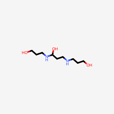 OCCCNCCC(O)NCCCO